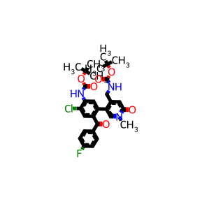 Cn1cc(-c2cc(NC(=O)OC(C)(C)C)c(Cl)cc2C(=O)c2ccc(F)cc2)c(CNC(=O)OC(C)(C)C)cc1=O